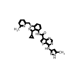 Cc1cccc(Cn2nc(C3CC3)c3c(NC(=O)c4csc5c(Nc6cc(C)[nH]n6)ncnc45)cccc32)n1